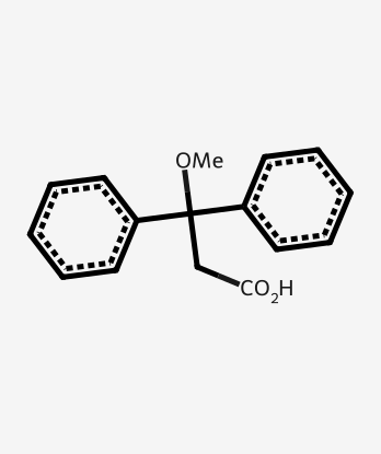 COC(CC(=O)O)(c1ccccc1)c1ccccc1